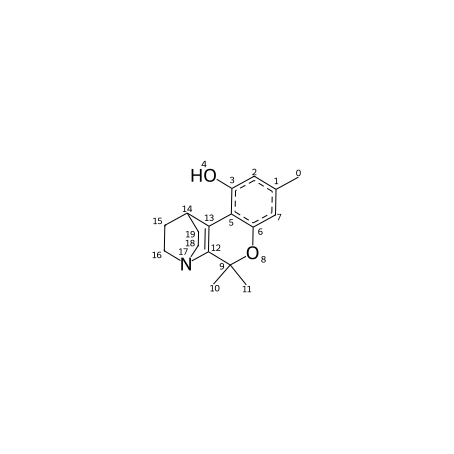 Cc1cc(O)c2c(c1)OC(C)(C)C1=C2C2CCN1CC2